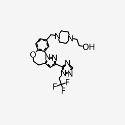 OCCN1CCN(Cc2ccc3c(c2)-n2nc(-c4ncnn4CC(F)(F)F)cc2CCO3)CC1